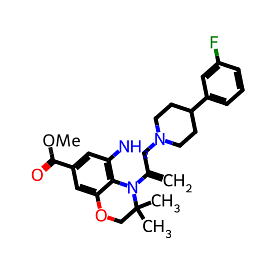 C=C(CN1CCC(c2cccc(F)c2)CC1)N1c2c(N)cc(C(=O)OC)cc2OCC1(C)C